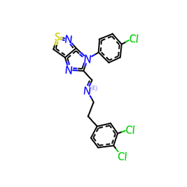 Clc1ccc(-n2c(/C=N/CCc3ccc(Cl)c(Cl)c3)nc3csnc32)cc1